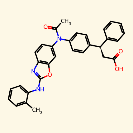 CC(=O)N(c1ccc([C@H](CC(=O)O)c2ccccc2)cc1)c1ccc2nc(Nc3ccccc3C)oc2c1